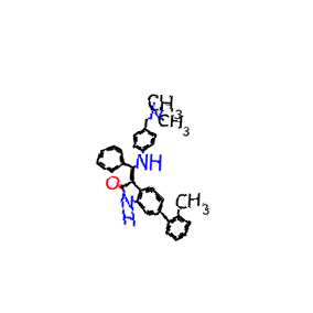 Cc1ccccc1-c1ccc2c(c1)NC(=O)C2=C(Nc1ccc(CN(C)C)cc1)c1ccccc1